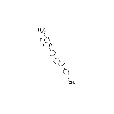 CCCc1ccc(C2CCC3CC(C4CCC(COc5ccc(CCC)c(F)c5F)CC4)CCC3C2)cc1